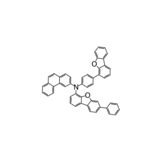 c1ccc(-c2ccc3c(c2)oc2c(N(c4ccc(-c5cccc6c5oc5ccccc56)cc4)c4ccc5ccc6ccccc6c5c4)cccc23)cc1